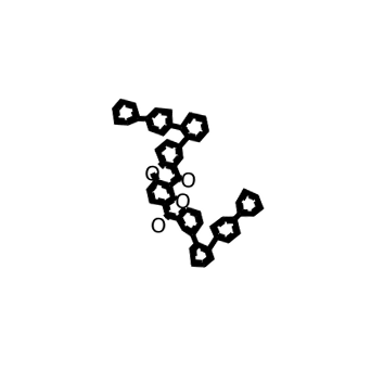 O=c1c2cc(-c3ccccc3-c3ccc(-c4ccccc4)cc3)ccc2oc2c1ccc1oc3ccc(-c4ccccc4-c4ccc(-c5ccccc5)cc4)cc3c(=O)c12